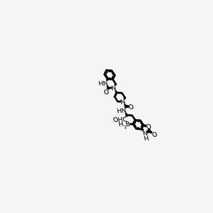 Bc1cc2[nH]c(=O)oc2cc1CC(C=O)NC(=O)N1CCC(N2Cc3ccccc3NC2=O)CC1